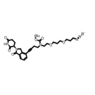 CC(C)(C)OC(=O)N(CCC#Cc1cccc2c1CN(C1CCC(=O)NC1=O)C2=O)CCOCCCOCCCN=[N+]=[N-]